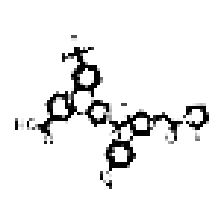 CC[C@H]1CN(C(=O)[C@]2(F)CN(CC(=O)N3CCC[C@H]3C)C[C@H]2c2ccc(OC)cc2)C[C@@H]1c1ccc(C(F)(F)F)cc1N1CCC(C(=O)O)CC1